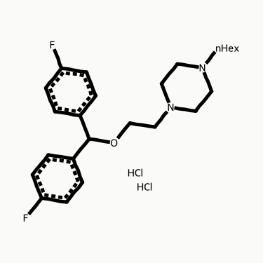 CCCCCCN1CCN(CCOC(c2ccc(F)cc2)c2ccc(F)cc2)CC1.Cl.Cl